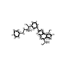 CNc1nc2sc(-c3cccc(C(C)NCCc4ccccc4)c3)nc2c2c1ncn2C